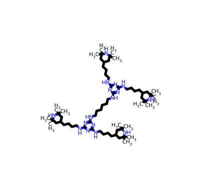 CC1(C)CC(CCCCNc2nc(NCCCCCCNc3nc(NCCCCC4CC(C)(C)NC(C)(C)C4)nc(NCCCCC4CC(C)(C)NC(C)(C)C4)n3)nc(NCCCCC3CC(C)(C)NC(C)(C)C3)n2)CC(C)(C)N1